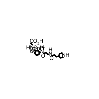 CCCc1c(NC(=O)CCNC(=O)CCC2CCNCC2)cccc1S(=O)(=O)NCCC(=O)O